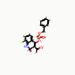 CC(=O)c1c(OS(=O)(=O)OCc2ccccc2)c2cccc(F)c2[nH]c1=O